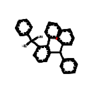 OC(O)(c1ccccc1)c1cccc(C(c2ccccc2)c2ccccc2)c1-c1ccccc1